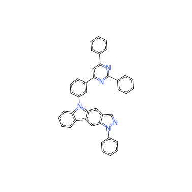 c1ccc(-c2cc(-c3cccc(-n4c5ccccc5c5cc6c(cnn6-c6ccccc6)cc54)c3)nc(-c3ccccc3)n2)cc1